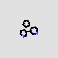 c1ccccc1.c1cncc(-c2cccnc2)c1